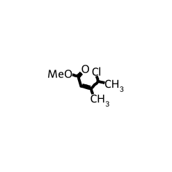 COC(=O)C=C(C)C(C)Cl